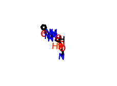 N#CCCOPOC1C2C[C@H](n3cnc4c(NC(=O)c5ccccc5)ncnc43)O[C@@H]21